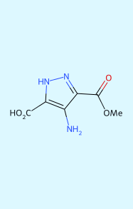 COC(=O)c1n[nH]c(C(=O)O)c1N